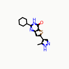 Cc1[nH]ncc1-c1cc2nc(C3CCCCC3)[nH]c(=O)c2s1